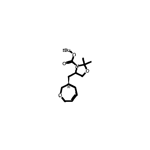 CC(C)(C)OC(=O)N1C(C[C@H]2CC=CCOC2)COC1(C)C